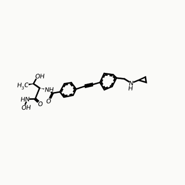 C[C@@H](O)[C@H](NC(=O)c1ccc(C#Cc2ccc(CNC3CC3)cc2)cc1)C(=O)NO